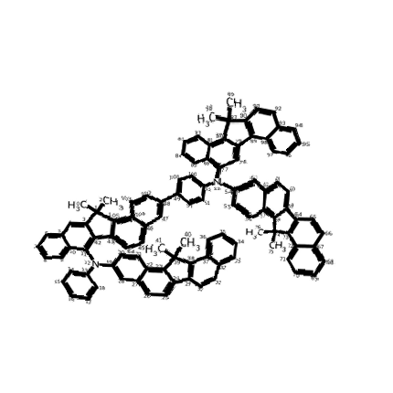 CC1(C)c2cc3ccccc3c(N(c3ccccc3)c3ccc4c5c(ccc4c3)-c3ccc4ccccc4c3C5(C)C)c2-c2ccc3cc(-c4ccc(N(c5ccc6c7c(ccc6c5)-c5ccc6ccccc6c5C7(C)C)c5cc6c(c7ccccc57)C(C)(C)c5ccc7ccccc7c5-6)cc4)ccc3c21